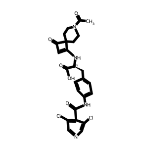 CC(=O)N1CCC2(CC1)C(=O)C=C2N[C@@H](Cc1ccc(NC(=O)c2c(Cl)cncc2Cl)cc1)C(=O)O